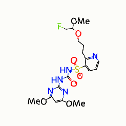 COc1cc(OC)nc(NC(=O)NS(=O)(=O)c2cccnc2CCCOC(CF)OC)n1